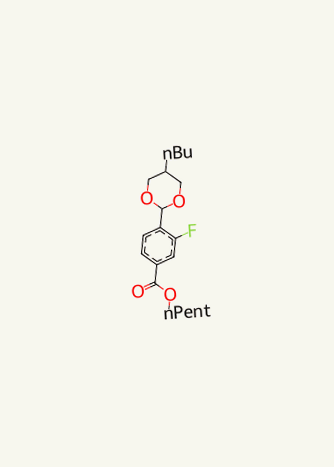 CCCCCOC(=O)c1ccc(C2OCC(CCCC)CO2)c(F)c1